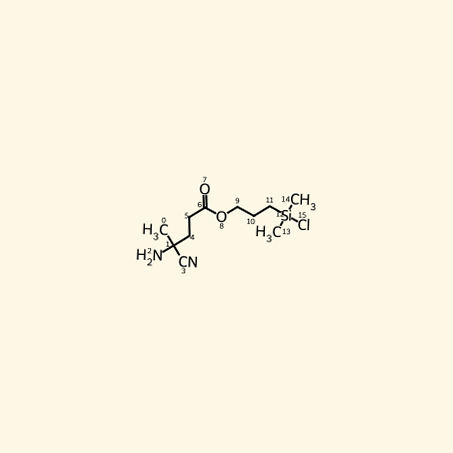 CC(N)(C#N)CCC(=O)OCCC[Si](C)(C)Cl